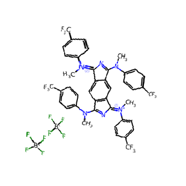 CN(c1ccc(C(F)(F)F)cc1)c1n/c(=[N+](/C)c2ccc(C(F)(F)F)cc2)c2cc3c(N(C)c4ccc(C(F)(F)F)cc4)n/c(=[N+](/C)c4ccc(C(F)(F)F)cc4)c3cc12.F[B-](F)(F)F.F[B-](F)(F)F